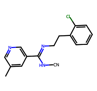 Cc1cncc(/C(=N/CCc2ccccc2Cl)NC#N)c1